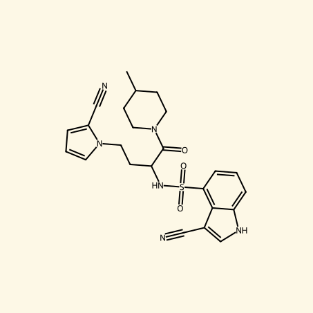 CC1CCN(C(=O)C(CCn2cccc2C#N)NS(=O)(=O)c2cccc3[nH]cc(C#N)c23)CC1